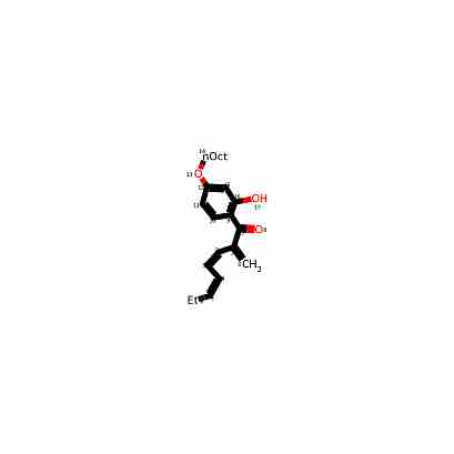 C=C(/C=C\C=C/CC)C(=O)c1ccc(OCCCCCCCC)cc1O